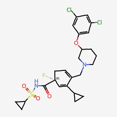 O=C(NS(=O)(=O)C1CC1)[C@]1(F)C=C(C2CC2)C(CN2CCCC(Oc3cc(Cl)cc(Cl)c3)C2)=CC1